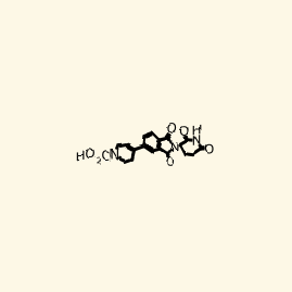 O=C1CCC(N2C(=O)c3ccc(C4=CCN(C(=O)O)CC4)cc3C2=O)C(=O)N1